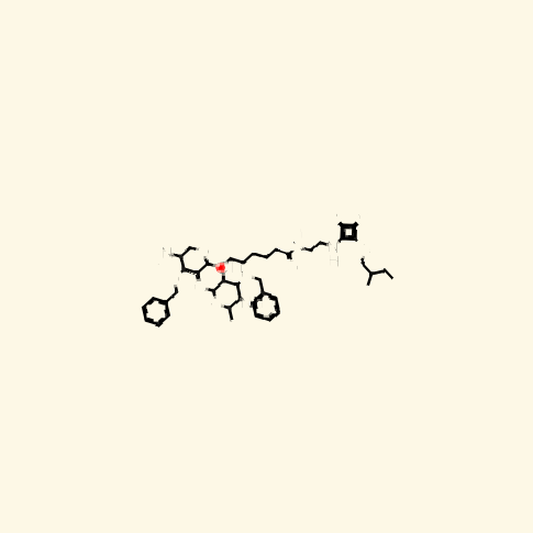 CCC(C)COc1c(NCCNC(=O)CCCCCOC2OCC(N)C(OCc3ccccc3)C2OC2OC(C)C(N)C(OCc3ccccc3)C2O)c(=O)c1=O